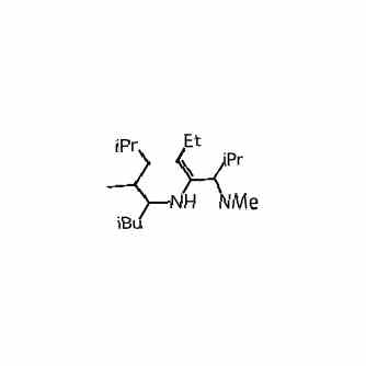 CC/C=C(/NC(C(C)CC)C(C)CC(C)C)C(NC)C(C)C